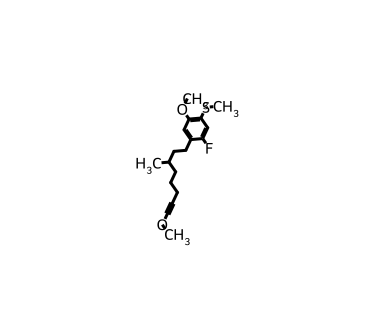 COC#CCCCC(C)CCc1cc(OC)c(SC)cc1F